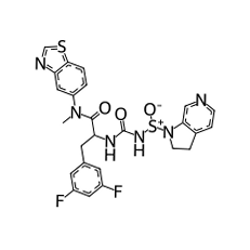 CN(C(=O)C(Cc1cc(F)cc(F)c1)NC(=O)N[S+]([O-])N1CCc2ccncc21)c1ccc2scnc2c1